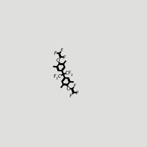 Cc1cc(C(c2cc(C)c(OC(F)=C(F)F)c(C)c2)(C(F)(F)F)C(F)(F)F)cc(C)c1OC(F)=C(F)F